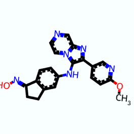 COc1ccc(-c2nc3cnccn3c2Nc2ccc3c(c2)CCC3=NO)cn1